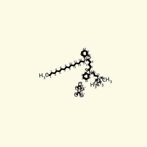 CCCCCCCCCCCCCCCCN1C(=CC=Cc2sc3ccccc3[n+]2CCC[N+](CC)(CC)CC)Sc2ccccc21.O=[N+]([O-])[O-].O=[N+]([O-])[O-]